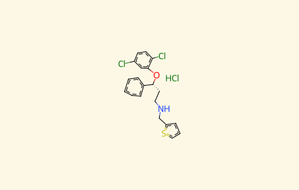 Cl.Clc1ccc(Cl)c(O[C@H](CCNCc2cccs2)c2ccccc2)c1